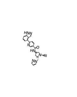 N#CN1C[C@H](NC(=O)c2ccc(-c3cccc4[nH]ncc34)nc2)C[C@H]1Cn1cccn1